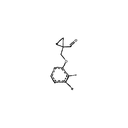 Cc1c(Br)cccc1OCC1(C=O)CC1